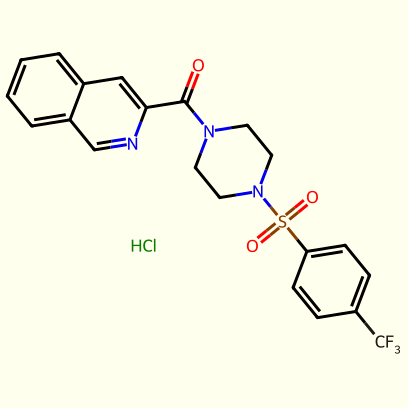 Cl.O=C(c1cc2ccccc2cn1)N1CCN(S(=O)(=O)c2ccc(C(F)(F)F)cc2)CC1